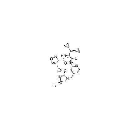 O=C(N[C@H](C(=O)Nc1cc(CN2C[C@@H](C(F)(F)F)NC2=O)ccn1)C(C1CC1)C1CC1)c1nonc1C1CC1